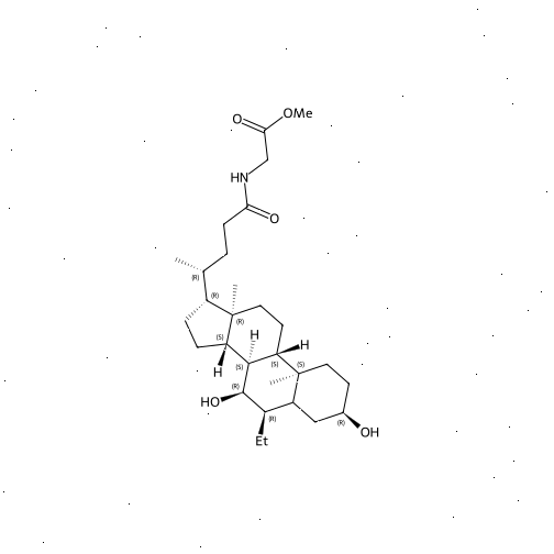 CC[C@@H]1C2C[C@H](O)CC[C@]2(C)[C@H]2CC[C@]3(C)[C@@H]([C@H](C)CCC(=O)NCC(=O)OC)CC[C@H]3[C@@H]2[C@@H]1O